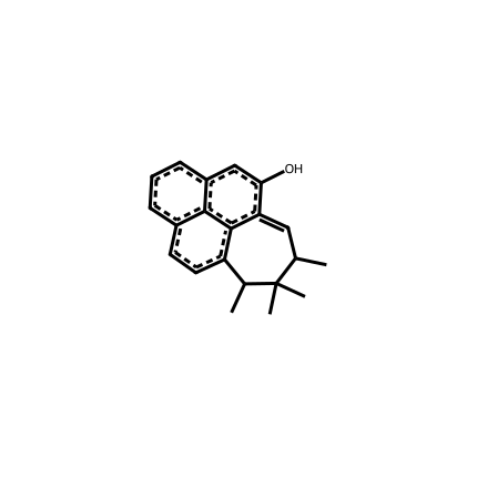 CC1C=c2c(O)cc3cccc4ccc(c2c43)C(C)C1(C)C